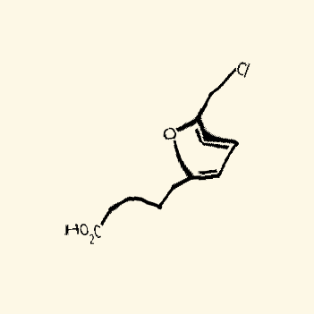 O=C(O)CCc1ccc(CCl)o1